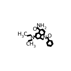 CCCN(CCC)C1=CC2C(C(N)=O)C=CC3C2C(C1)CN3C(=O)c1ccccc1